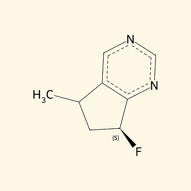 CC1C[C@H](F)c2ncncc21